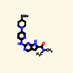 CNC1CCN(c2ccc(Nc3ncc4cc(C(=O)N(C)C)[nH]c4n3)nc2)CC1